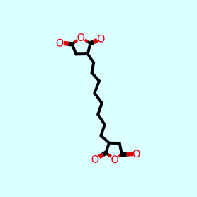 O=C1CC(CCCCCCCCC2CC(=O)OC2=O)C(=O)O1